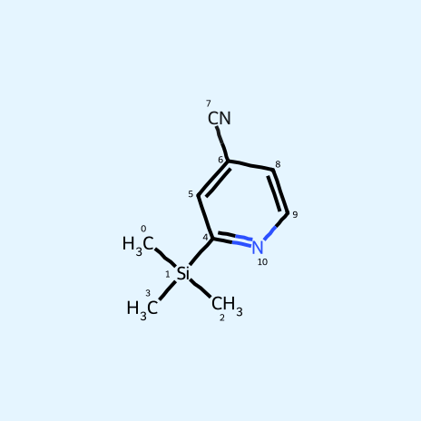 C[Si](C)(C)c1cc(C#N)ccn1